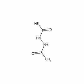 CC(=O)NNC(=S)S